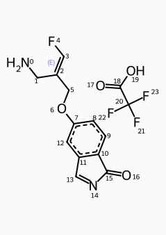 NC/C(=C\F)COc1ccc2c(c1)C=NC2=O.O=C(O)C(F)(F)F